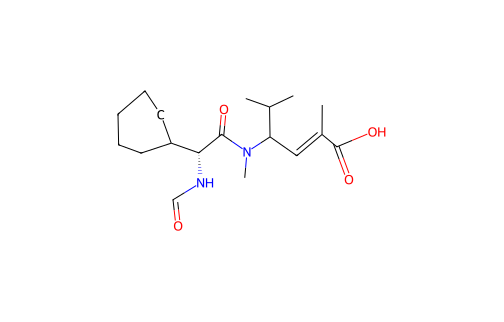 C/C(=C\C(C(C)C)N(C)C(=O)[C@H](NC=O)C1CCCCC1)C(=O)O